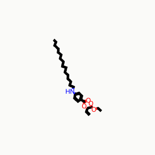 C=CC(OC(=O)c1ccc(NCCCCCCCCCCCCCCCC)cc1)C(=O)OCC